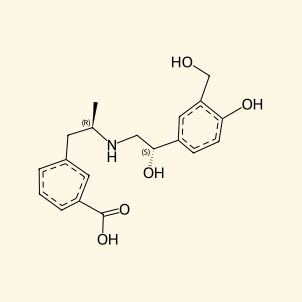 C[C@H](Cc1cccc(C(=O)O)c1)NC[C@@H](O)c1ccc(O)c(CO)c1